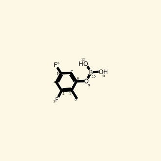 Cc1c(F)cc(F)cc1OB(O)O